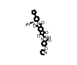 CC(C)CSc1cc(C2=CCC=C2)ccc1N1C(=O)c2cc3c(cc2C1=O)C(=O)C(c1nc2ccc(Oc4ccccn4)cc2c(=O)[nH]1)C3=O